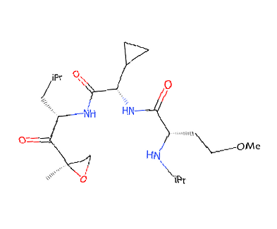 COCC[C@H](NC(C)C)C(=O)N[C@H](C(=O)N[C@@H](CC(C)C)C(=O)[C@@]1(C)CO1)C1CC1